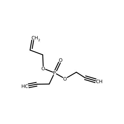 C#CCOP(=O)(CC#C)OCC=C